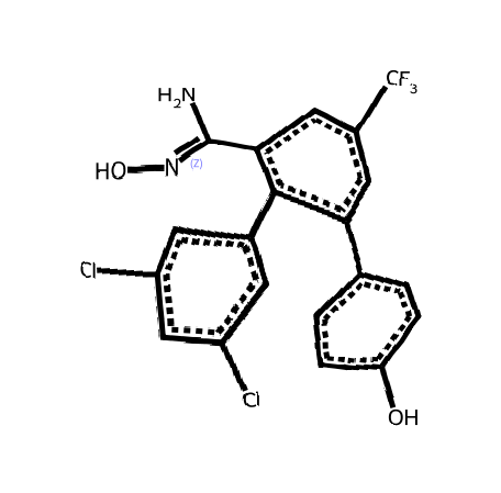 N/C(=N\O)c1cc(C(F)(F)F)cc(-c2ccc(O)cc2)c1-c1cc(Cl)cc(Cl)c1